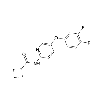 O=C(Nc1ccc(Oc2ccc(F)c(F)c2)cn1)C1CCC1